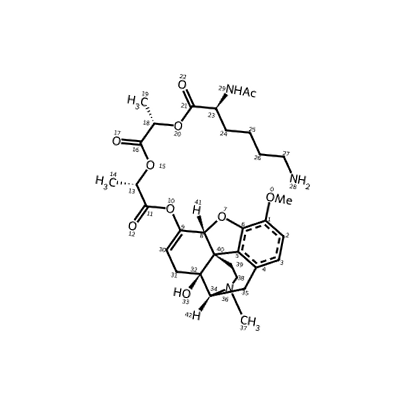 COc1ccc2c3c1O[C@H]1C(OC(=O)[C@H](C)OC(=O)[C@H](C)OC(=O)[C@H](CCCCN)NC(C)=O)=CC[C@@]4(O)[C@@H](C2)N(C)CC[C@]314